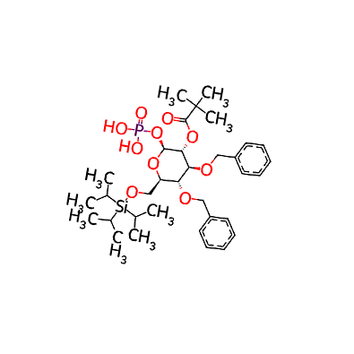 CC(C)[Si](OC[C@H]1O[C@@H](OP(=O)(O)O)[C@H](OC(=O)C(C)(C)C)[C@@H](OCc2ccccc2)[C@@H]1OCc1ccccc1)(C(C)C)C(C)C